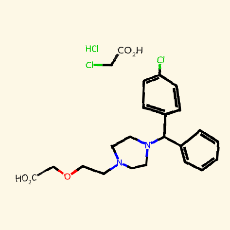 Cl.O=C(O)CCl.O=C(O)COCCN1CCN(C(c2ccccc2)c2ccc(Cl)cc2)CC1